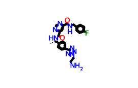 C[C@H](NC(=O)c1cc(C(=O)NCc2ccc(F)cc2)ncn1)c1ccc(-c2nnn(CCN)n2)cc1